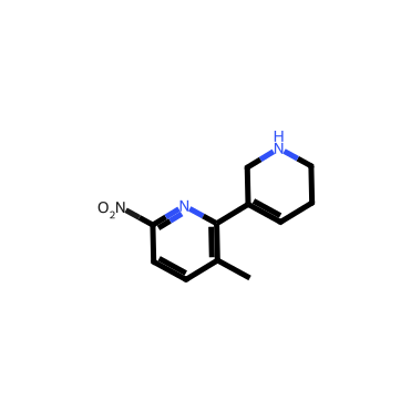 Cc1ccc([N+](=O)[O-])nc1C1=CCCNC1